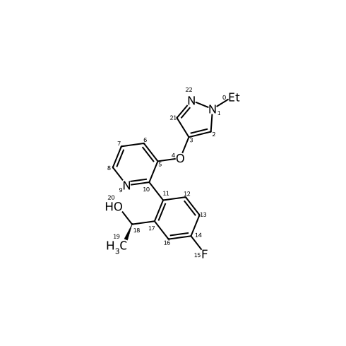 CCn1cc(Oc2cccnc2-c2ccc(F)cc2[C@@H](C)O)cn1